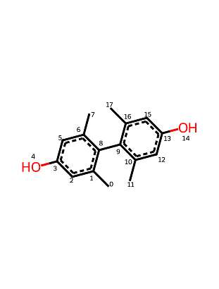 Cc1cc(O)cc(C)c1-c1c(C)cc(O)cc1C